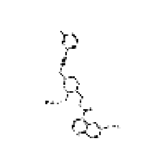 COc1ccc2nccc(C(=O)CCC3CCN(CC#Cc4cccc(F)c4)CC3CC(=O)O)c2c1